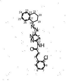 O=C(/C=C/c1ccccc1Cl)Nc1nnc(N=NC2CCCc3ccccc32)s1